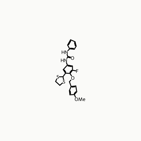 COc1ccc(COc2c(F)cc(NC(=O)Nc3ccccc3)cc2C2SCCS2)cc1